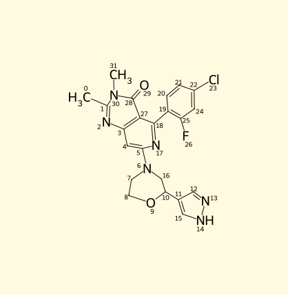 Cc1nc2cc(N3CCOC(c4cn[nH]c4)C3)nc(-c3ccc(Cl)cc3F)c2c(=O)n1C